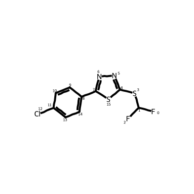 FC(F)Sc1nnc(-c2ccc(Cl)cc2)s1